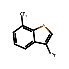 CC(C)c1csc2c(C(F)(F)F)cccc12